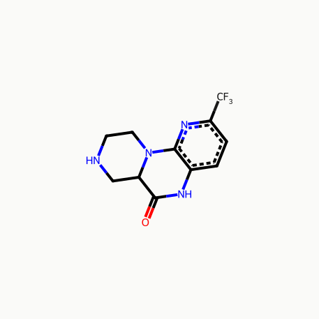 O=C1Nc2ccc(C(F)(F)F)nc2N2CCNCC12